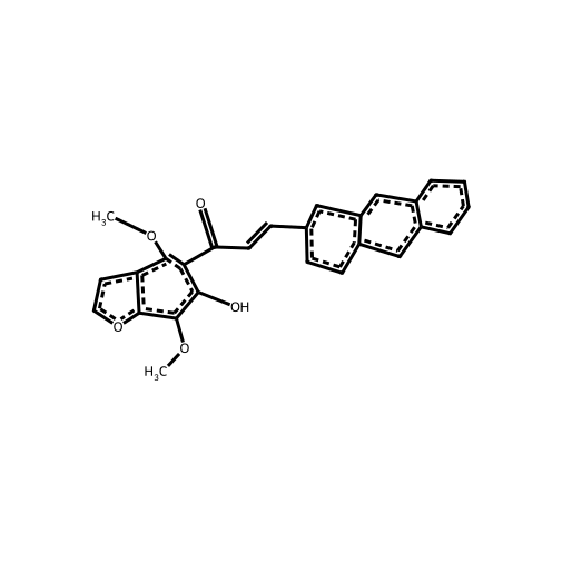 COc1c(C(=O)/C=C/c2ccc3cc4ccccc4cc3c2)c(O)c(OC)c2occc12